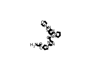 NCC(=O)O[C@H]1CCN(c2cncc(C(=O)Nc3cc4sc(N5CCOCC5)nc4nc3N3CCCCC3)n2)C1